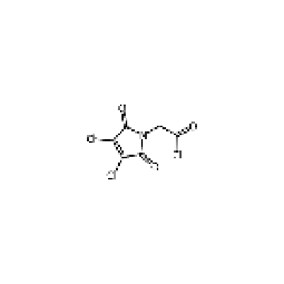 O=C(Cl)CN1C(=O)C(Cl)=C(Cl)C1=O